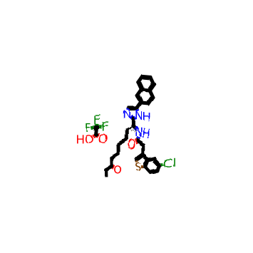 CCC(=O)CCCCC[C@H](NC(=O)Cc1csc2ccc(Cl)cc12)c1ncc(-c2ccc3ccccc3c2)[nH]1.O=C(O)C(F)(F)F